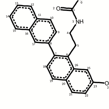 CCCCCCC(=O)NCCc1c(-c2ccc3ccccc3c2)ccc2ccc(O)cc12